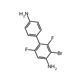 Nc1ccc(-c2c(F)cc(N)c(Br)c2F)cc1